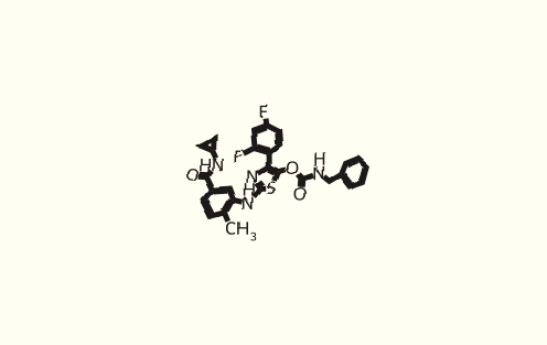 Cc1ccc(C(=O)NC2CC2)cc1Nc1nc(-c2ccc(F)cc2F)c(OC(=O)NCc2ccccc2)s1